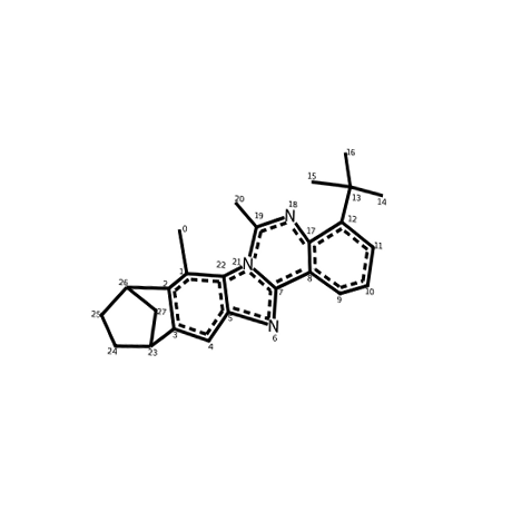 Cc1c2c(cc3nc4c5cccc(C(C)(C)C)c5nc(C)n4c13)C1CCC2C1